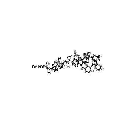 CCCCCC(=O)Nc1nnc(S(=O)(=O)NC(=O)CNC(=O)C(=O)C(CC(F)F)NC(=O)C(CC2CCCCC2)NC(=O)C(NC(=O)C(CC(C)C)NC(=O)c2cnccn2)C(C)CC)s1